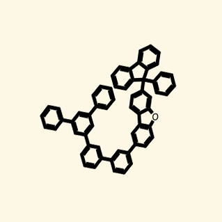 c1ccc(-c2cc(-c3ccccc3)cc(-c3cccc(-c4cccc(-c5ccc6oc7cc(C8(c9ccccc9)c9ccccc9-c9ccccc98)ccc7c6c5)c4)c3)c2)cc1